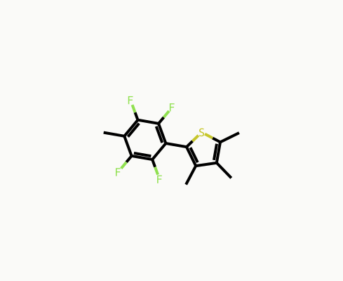 Cc1sc(-c2c(F)c(F)c(C)c(F)c2F)c(C)c1C